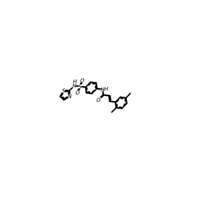 Cc1ccc(C)c(/C=C/C(=O)Nc2ccc(S(=O)(=O)Nc3nccs3)cc2)c1